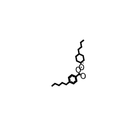 CCCCCc1ccc(C(=O)OO[C]2CCC(CCCC)CC2)cc1